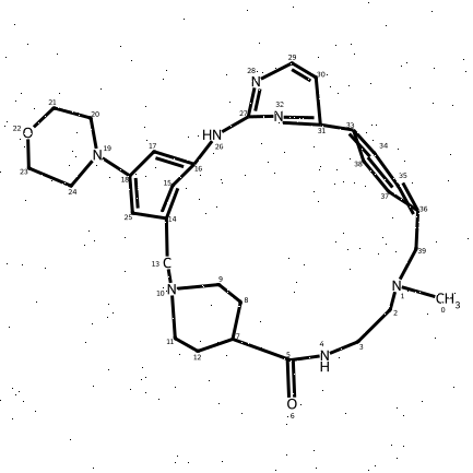 CN1CCNC(=O)C2CCN(CC2)Cc2cc(cc(N3CCOCC3)c2)Nc2nccc(n2)-c2ccc(cc2)C1